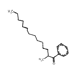 CCCCCCCCCCCCC(C)C(=O)c1ccccc1